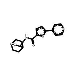 O=C(NC1CN2CCC1CC2)c1ccc(-c2ccncc2)s1